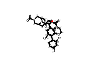 C=CC(=O)N1C2CN(C(C)=O)CC1CN(c1nc(=O)n3c4c(c(-c5ccc(F)cc5F)c(Cl)cc14)OCC3)C2